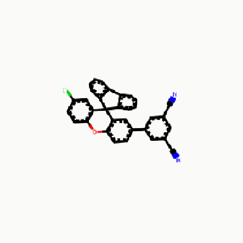 N#Cc1cc(C#N)cc(-c2ccc3c(c2)C2(c4cc(Cl)ccc4O3)c3ccccc3-c3ccccc32)c1